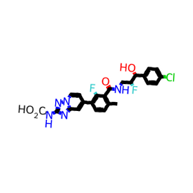 Cc1ccc(-c2ccn3nc(NC(=O)O)nc3c2)c(F)c1C(=O)NCC(F)C(O)c1ccc(Cl)cc1